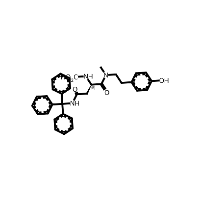 CN(CCc1ccc(O)cc1)C(=O)[C@@H](CC(=O)NC(c1ccccc1)(c1ccccc1)c1ccccc1)NC(=O)O